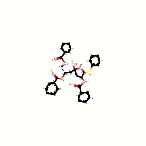 O=C(OC[C@@H](OC(=O)c1ccccc1)[C@H]1C2C(OC(=O)c3ccccc3)[C@H](Sc3ccccc3)OC21O)c1ccccc1